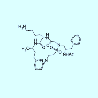 CC(=O)N[C@@H](Cc1ccccc1)CN(CC(=O)N[C@@H](CCCCN)C(=O)N[C@H](C)CCc1ccccc1)S(=O)(=O)CCN